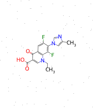 CCn1cc(C(=O)O)c(=O)c2cc(F)c(-n3cnc(C)c3)c(F)c21